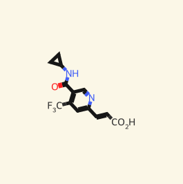 O=C(O)/C=C/c1cc(C(F)(F)F)c(C(=O)NC2CC2)cn1